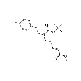 COC(=O)/C=C/CCN(CCc1ccc(I)cc1)C(=O)OC(C)(C)C